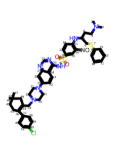 CN(C)CCC(CSc1ccccc1)Nc1ccc(S(=O)(=O)Nc2ncnc3cc(N4CCN(CC5=C(c6ccc(Cl)cc6)CCC(C)(C)C5)CC4)ccc23)cc1[N+](=O)[O-]